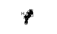 NC(=O)C(c1cc(-c2ncnc3cc(N4CCOCC4)ccc23)c(F)cc1Cl)c1cccc2nncn12